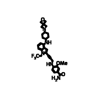 COc1cc(C(N)=O)ccc1NCC#Cc1cc2c(NC3CCC(N4CC5(COC5)C4)CC3)cccc2n1CC(F)(F)F